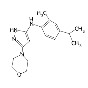 Cc1cc(C(C)C)ccc1Nc1cc(N2CCOCC2)n[nH]1